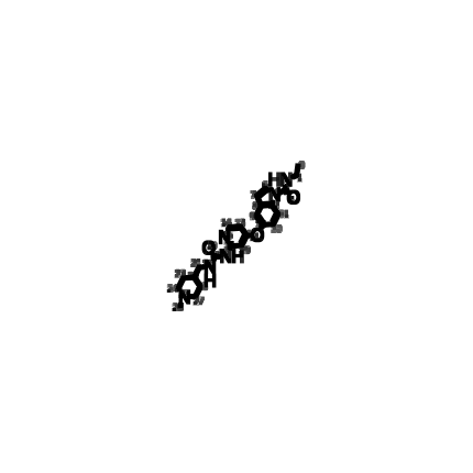 CCNC(=O)n1ccc2cc(Oc3ccnc(NC(=O)NCC4CCN(C)CC4)c3)ccc21